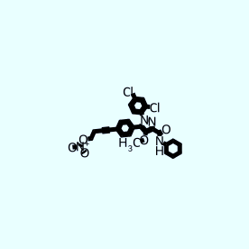 COc1c(C(=O)NC2CCCCC2)nn(-c2ccc(Cl)cc2Cl)c1-c1ccc(C#CCCO[N+](=O)[O-])cc1